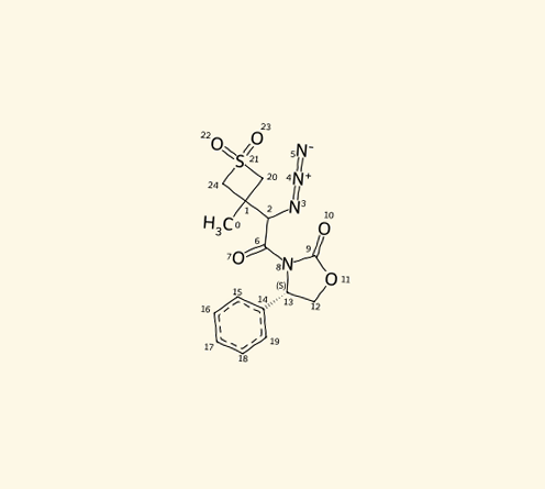 CC1(C(N=[N+]=[N-])C(=O)N2C(=O)OC[C@@H]2c2ccccc2)CS(=O)(=O)C1